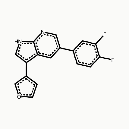 Fc1ccc(-c2cnc3[nH]cc(-c4ccoc4)c3c2)cc1F